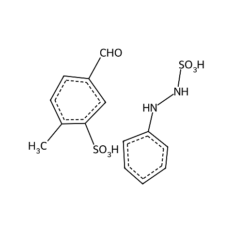 Cc1ccc(C=O)cc1S(=O)(=O)O.O=S(=O)(O)NNc1ccccc1